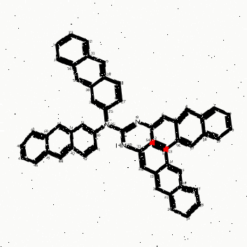 c1ccc2cc3cc(N=C(Nc4ccc5cc6ccccc6cc5c4)N(c4ccc5cc6ccccc6cc5c4)c4ccc5cc6ccccc6cc5c4)ccc3cc2c1